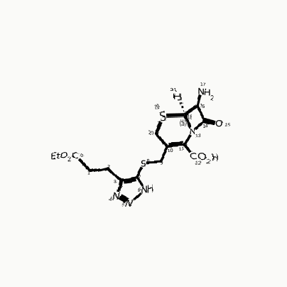 CCOC(=O)CCc1nn[nH]c1SCC1=C(C(=O)O)N2C(=O)C(N)[C@@H]2SC1